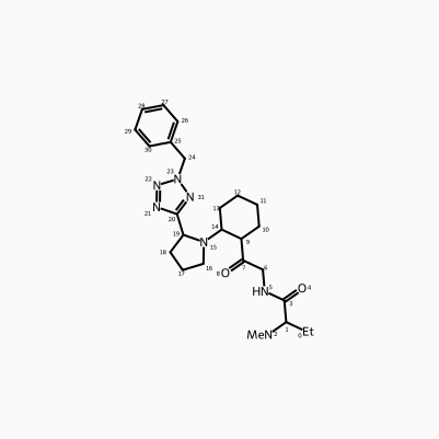 CCC(NC)C(=O)NCC(=O)C1CCCCC1N1CCCC1c1nnn(Cc2ccccc2)n1